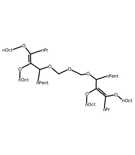 CCCCCCCCOC(CCC)=C(OCCCCCCCC)C(CCCCC)OCOCOC(CCCCC)C(OCCCCCCCC)=C(CCC)OCCCCCCCC